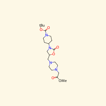 COC(=O)CN1CCN(CC2CN(C3CCN(C(=O)OC(C)(C)C)CC3)C(=O)O2)CC1